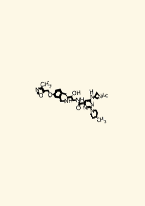 CC(=O)N1CC(Nc2cc(C(=O)NC[C@@H](O)[C@@H]3Cc4ccc(OCc5ocnc5C)cc4CN3)nc(N3CCC(C)CC3)n2)C1